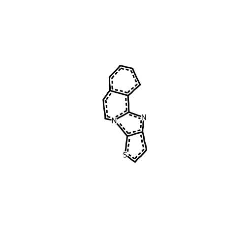 c1ccc2c(c1)ccn1c2nc2ccsc21